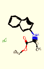 C[C@H](Nc1ccc2ccccc2c1)C(=O)OC(C)(C)C.Cl